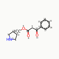 C1CCNC1.COC(=O)CC(=O)c1ccccc1